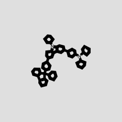 c1ccc(N(c2ccccc2)c2ccc(-c3ccc4c(c3)c3cc(-c5ccc(C6(c7ccccc7)c7ccccc7-c7ccccc76)cc5)ccc3n4-c3ccccc3)cc2)cc1